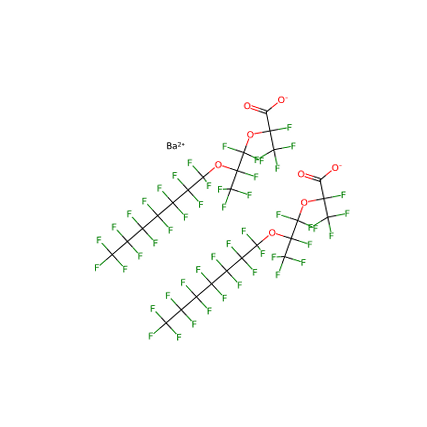 O=C([O-])C(F)(OC(F)(F)C(F)(OC(F)(F)C(F)(F)C(F)(F)C(F)(F)C(F)(F)C(F)(F)C(F)(F)F)C(F)(F)F)C(F)(F)F.O=C([O-])C(F)(OC(F)(F)C(F)(OC(F)(F)C(F)(F)C(F)(F)C(F)(F)C(F)(F)C(F)(F)C(F)(F)F)C(F)(F)F)C(F)(F)F.[Ba+2]